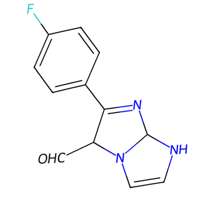 O=CC1C(c2ccc(F)cc2)=NC2NC=CN21